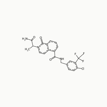 CC(C(N)=O)n1ccc2c(C(=O)NCc3ccc(Cl)c(C(F)(F)F)c3)cccc2c1=O